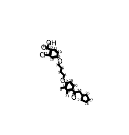 Cc1c(OCCCCOc2ccc(C(=O)O)c(Cl)c2)ccc(C(=O)CC2CCCC2)c1C